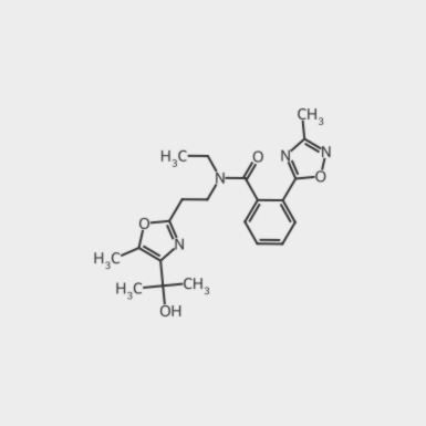 CCN(CCc1nc(C(C)(C)O)c(C)o1)C(=O)c1ccccc1-c1nc(C)no1